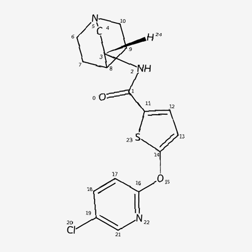 O=C(N[C@H]1CN2CCC1CC2)c1ccc(Oc2ccc(Cl)cn2)s1